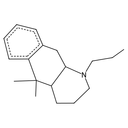 CCCN1CCCC2C1Cc1ccccc1C2(C)C